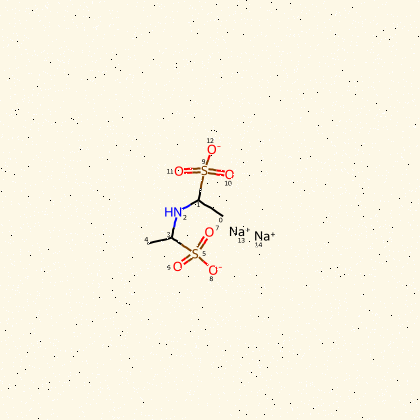 CC(NC(C)S(=O)(=O)[O-])S(=O)(=O)[O-].[Na+].[Na+]